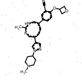 Cc1ncc(-c2cnn(C3CCN(C)CC3)c2)ccc(-c2ccc(OC3COC3)c(C#N)c2)c[nH]1